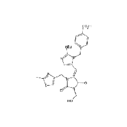 CCCCc1ncc(C=C2C(=O)N(CO)C(=O)N2Cc2csc(C)n2)n1Cc1ccc(C(=O)O)cc1